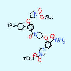 CC(C)(C)OC(=O)N1CCN(c2ccc(C(N)=O)c(OC3CCN(C(=O)c4ccc(O[C@H]5CCN(C(=O)OC(C)(C)C)C5)c(C5CCC(C(C)(C)C)CC5)c4)CC3)c2)CC1